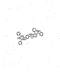 C1=CCC2NC(c3ccccc3)c3ccc4c(c3C2=C1)NC(c1ccc(C2=NC(c3ccccc3)NC(c3ccccc3)N2)cc1)O4